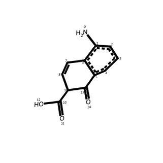 Nc1cccc2c1C=CC(C(=O)O)C2=O